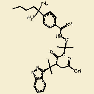 CCCCC(P)(P)c1ccc(C(=N)NOC(C)(C)OC(=O)C(CC(=O)O)C(C)(C)n2nnc3ccccc32)cc1